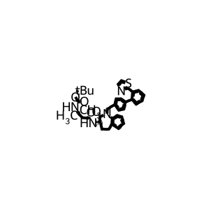 CC(C)(CC(=O)N[C@@H]1CCc2ccccc2N(Cc2ccc(-c3ccccc3-c3nccs3)cc2)C1=O)NC(=O)OC(C)(C)C